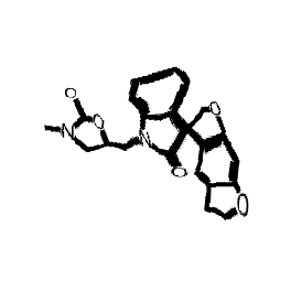 CN1CC(CN2C(=O)C3(COc4cc5c(cc43)CCO5)c3ccccc32)OC1=O